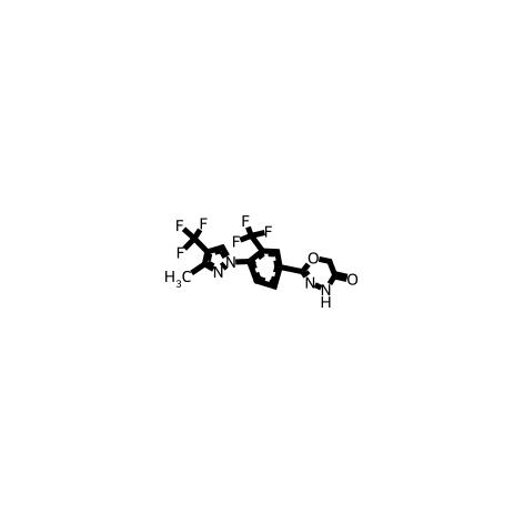 Cc1nn(-c2ccc(C3=NNC(=O)CO3)cc2C(F)(F)F)cc1C(F)(F)F